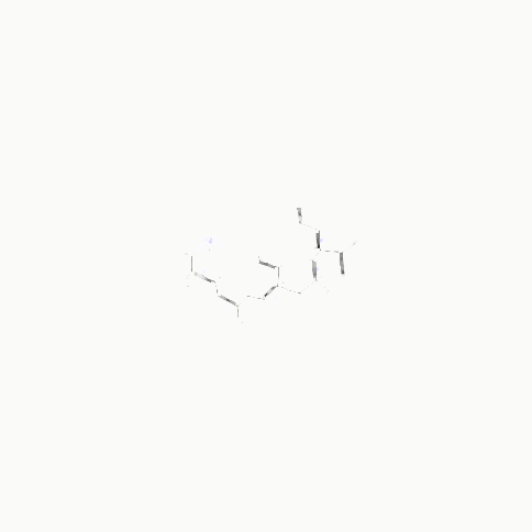 C=C/C=C(\C=C(/C)C/C(C=C)=C/C/C(C)=C\C=C(/CC)CN)C(=C)C